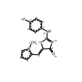 Cn1cccc1/C=C1\SC(Nc2ccc(F)cc2)=NC1=O